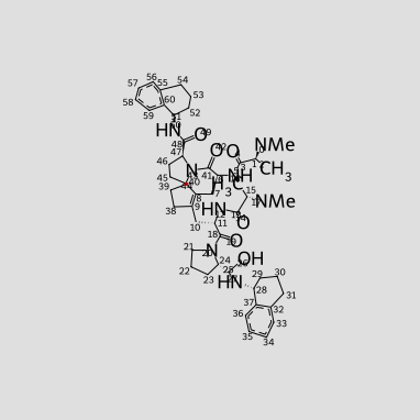 CN[C@@H](C)C(=O)N[C@@H](CC1=C(C[C@H](NC(=O)[C@H](C)NC)C(=O)N2CCC[C@H]2C(O)N[C@@H]2CCCc3ccccc32)CCC1)C(=O)N1CCC[C@H]1C(=O)N[C@@H]1CCCc2ccccc21